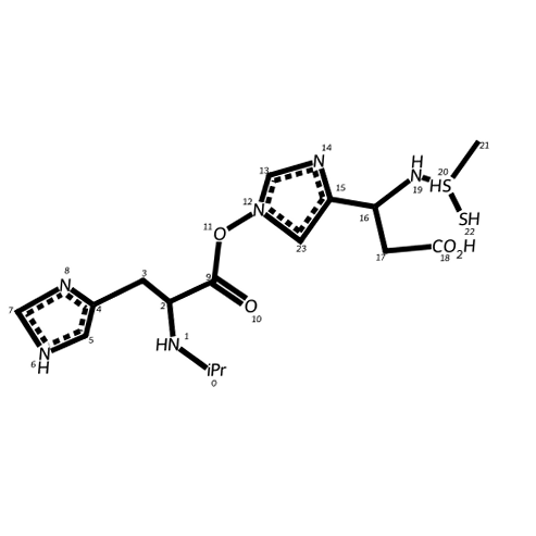 CC(C)NC(Cc1c[nH]cn1)C(=O)On1cnc(C(CC(=O)O)N[SH](C)S)c1